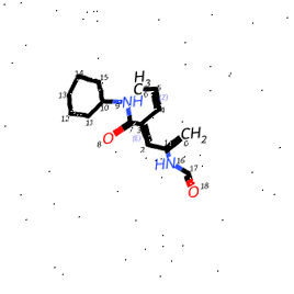 C=C(/C=C(\C=C/C)C(=O)NC1CCCCC1)NC=O